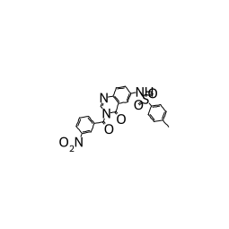 Cc1ccc(S(=O)(=O)Nc2ccc3ncn(C(=O)c4cccc([N+](=O)[O-])c4)c(=O)c3c2)cc1